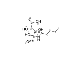 CCCCCN[C@](O)([C]=O)[C@@H](O)[C@H](O)[C@@H](C)O